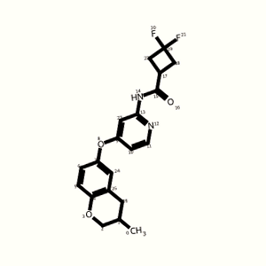 CC1COc2ccc(Oc3ccnc(NC(=O)C4CC(F)(F)C4)c3)cc2C1